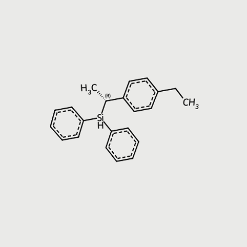 CCc1ccc([C@@H](C)[SiH](c2ccccc2)c2ccccc2)cc1